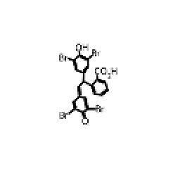 O=C1C(Br)=CC(=CC(c2cc(Br)c(O)c(Br)c2)c2ccccc2C(=O)O)C=C1Br